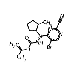 C=C(C)OC(=O)NN(c1nc(C#N)ncc1Br)[C@H]1CCC[C@@H]1C